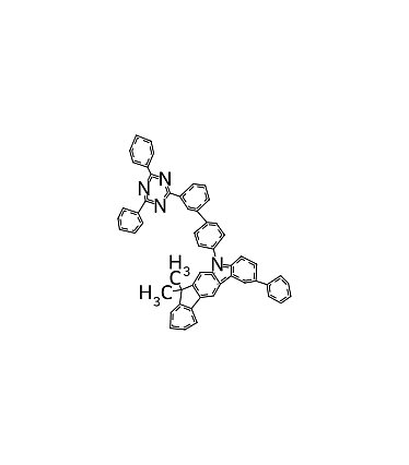 CC1(C)c2ccccc2-c2cc3c4cc(-c5ccccc5)ccc4n(-c4ccc(-c5cccc(-c6nc(-c7ccccc7)nc(-c7ccccc7)n6)c5)cc4)c3cc21